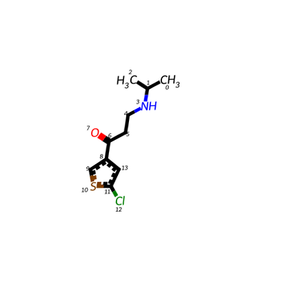 CC(C)NCCC(=O)c1csc(Cl)c1